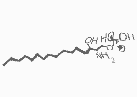 CCCCCCCCCCC/C=C/[C@@H](O)[C@@H](N)COP(=O)(O)O